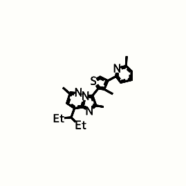 CCC(CC)c1cc(C)nn2c(-c3scc(-c4cccc(C)n4)c3C)c(C)nc12